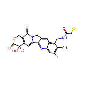 CC[C@@]1(O)C(=O)OCc2c1cc1n(c2=O)Cc2cc3c(CNC(=O)CS)c(C)c(F)cc3nc2-1